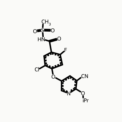 CC(C)Oc1ncc(Oc2cc(F)c(C(=O)NS(C)(=O)=O)cc2Cl)cc1C#N